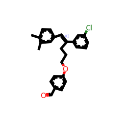 Cc1ccc(/C=C(\CCCOc2ccc(C=O)cc2)c2cccc(Cl)c2)cc1C